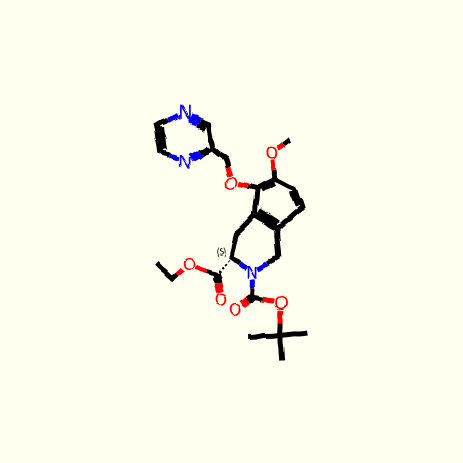 CCOC(=O)[C@@H]1Cc2c(ccc(OC)c2OCc2cnccn2)CN1C(=O)OC(C)(C)C